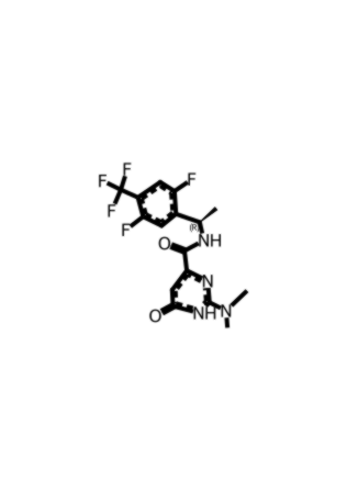 C[C@@H](NC(=O)c1cc(=O)[nH]c(N(C)C)n1)c1cc(F)c(C(F)(F)F)cc1F